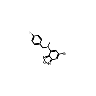 CN(Cc1ccc(F)cc1)c1cc(Br)cc2nonc12